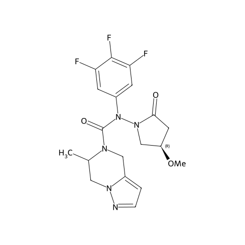 CO[C@@H]1CC(=O)N(N(C(=O)N2Cc3ccnn3CC2C)c2cc(F)c(F)c(F)c2)C1